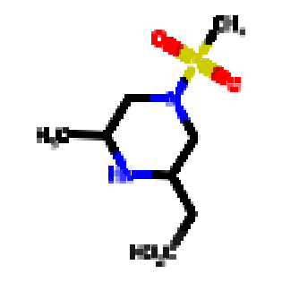 CC1CN(S(C)(=O)=O)CC(CC(=O)O)N1